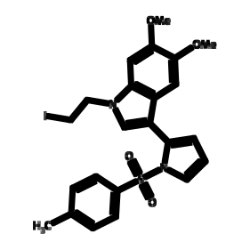 COc1cc2c(-c3cccn3S(=O)(=O)c3ccc(C)cc3)cn(CCI)c2cc1OC